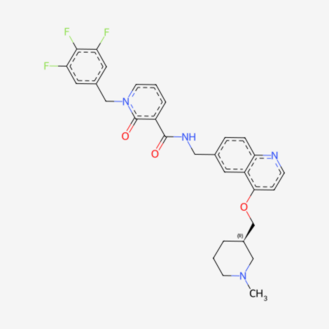 CN1CCC[C@@H](COc2ccnc3ccc(CNC(=O)c4cccn(Cc5cc(F)c(F)c(F)c5)c4=O)cc23)C1